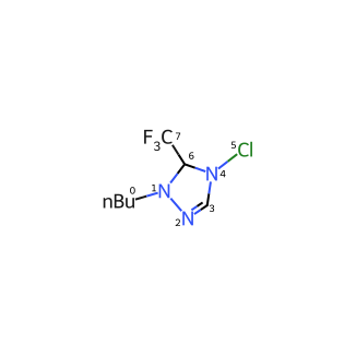 CCCCN1N=CN(Cl)C1C(F)(F)F